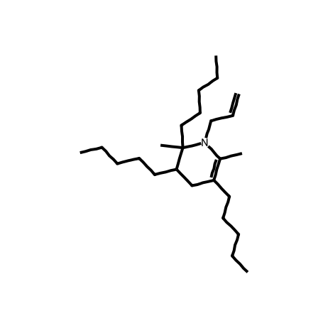 C=CCN1C(C)=C(CCCCC)CC(CCCCC)C1(C)CCCCC